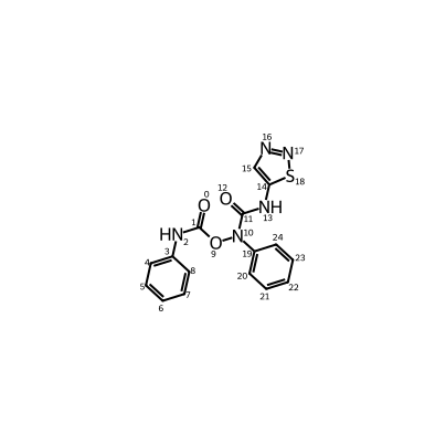 O=C(Nc1ccccc1)ON(C(=O)Nc1cnns1)c1ccccc1